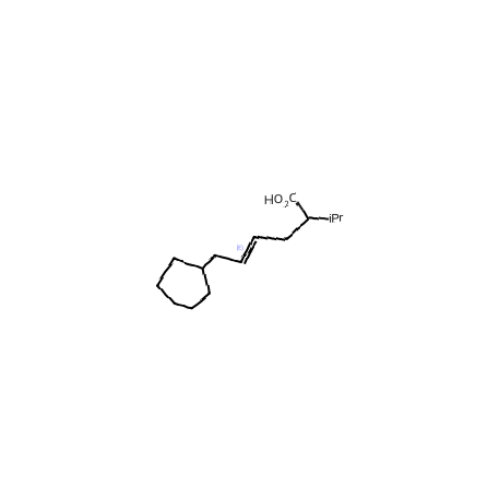 CC(C)C(C/C=C/CC1CCCCC1)C(=O)O